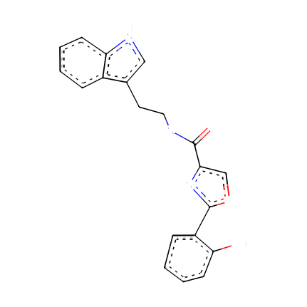 O=C(NCCc1c[nH]c2ccccc12)c1coc(-c2ccccc2O)n1